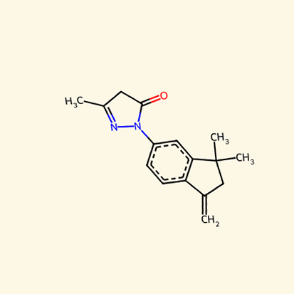 C=C1CC(C)(C)c2cc(N3N=C(C)CC3=O)ccc21